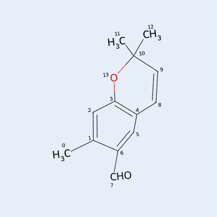 Cc1cc2c(cc1C=O)C=CC(C)(C)O2